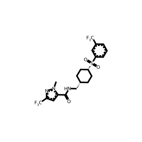 Cn1nc(C(F)(F)F)cc1C(=O)NC[C@H]1CC[C@@H](S(=O)(=O)c2cccc(C(F)(F)F)c2)CC1